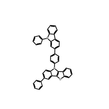 c1ccc(-c2ccc3c(c2)c2oc4ccccc4c2n3-c2ccc(-c3ccc4c5ccccc5n(-c5ccccc5)c4c3)cc2)cc1